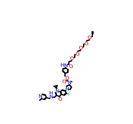 C#CCOCCOCCOCCOCCOCCC(=O)Nc1ccc(COC(=O)N(C)[C@H]2CCN(c3cc4c(cc3F)c(=O)c(CNCc3ccnc(C)c3)cn4C3CC3)C2)cc1